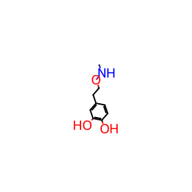 CNOCCc1ccc(O)c(O)c1